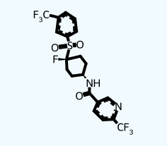 O=C(N[C@H]1CC[C@@](F)(S(=O)(=O)c2cccc(C(F)(F)F)c2)CC1)c1ccc(C(F)(F)F)nc1